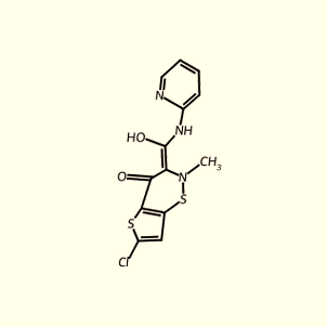 CN1Sc2cc(Cl)sc2C(=O)C1=C(O)Nc1ccccn1